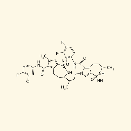 CC(CCn1cc2c(c1C(=O)Nc1ccc(F)c(F)c1)CC[C@H](C)NS2(=N)=O)[C@H]1CCc2c(cn(C)c2C(=O)Nc2ccc(F)c(Cl)c2)S(=N)(=O)N1